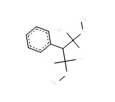 CC(C)(OC#N)C(c1ccccc1)C(C)(C)OC#N